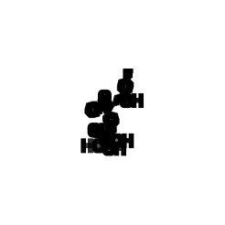 O=C1[C@H](CC[C@H](O)c2ccc(F)cc2)[C@@H](c2ccc(C[C@@H]3O[C@H](CO)[C@@H](O)[C@H](O)[C@H]3O)cc2)N1c1ccccc1